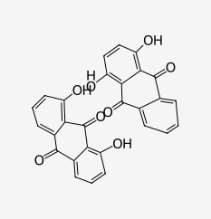 O=C1c2cccc(O)c2C(=O)c2c(O)cccc21.O=C1c2ccccc2C(=O)c2c(O)ccc(O)c21